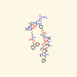 CC[C@H](C)[C@@H]([C@@H](CC(=O)N1CCC[C@H]1[C@H](OC)[C@@H](C)C(=O)N[C@@H](Cc1ccccc1)c1nccs1)OC)N(C)C(=O)[C@@H](NC(=O)C(C)(C)NC(=O)OCc1ccc(NC(=O)[C@H](CCCNC(N)=O)NC(=O)[C@@H](NC(=O)[C@H](CCCCNC(=O)OCC2c3ccccc3-c3ccccc32)NC(=O)C(C)C)C(C)C)cc1)C(C)C